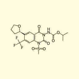 CC(C)OC(=O)Nn1c(=O)c2cc([C@H]3CCCO3)c(C(F)(F)F)cc2n(S(C)(=O)=O)c1=O